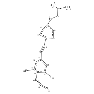 CC(C)COc1ccc(C#Cc2cc(F)c(N=C=S)c(I)c2)cc1